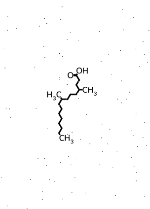 CCCCCCCCC(C)CCCC(C)CCC(=O)O